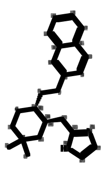 CC1(C)CC[C@H](CCc2ccc3ccccc3c2)[C@@H](Cc2ncc[nH]2)C1